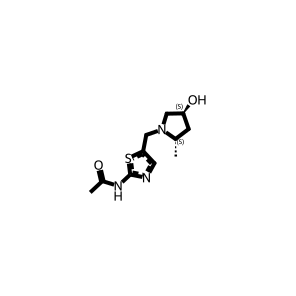 CC(=O)Nc1ncc(CN2C[C@@H](O)C[C@@H]2C)s1